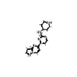 c1cc(-c2ccn3nccc3n2)nc(NC2CCNCC2)n1